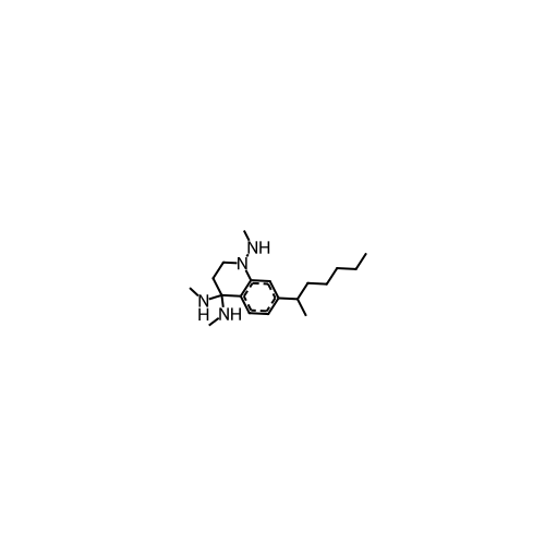 CCCCCC(C)c1ccc2c(c1)N(NC)CCC2(NC)NC